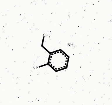 CCc1ccccc1F.N